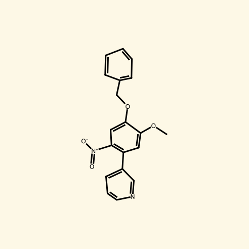 COc1cc(-c2cccnc2)c([N+](=O)[O-])cc1OCc1ccccc1